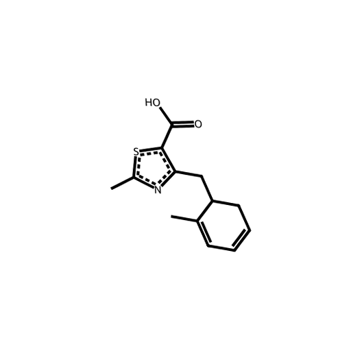 CC1=CC=CCC1Cc1nc(C)sc1C(=O)O